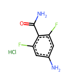 Cl.NC(=O)c1c(F)cc(N)cc1F